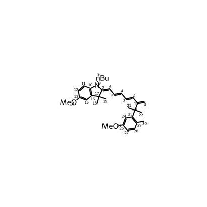 C=C(/C=C/C=C/C=C1/N(CCCC)c2ccc(OC)cc2C1(C)C)C(C)(C)c1cc(OC)ccc1C